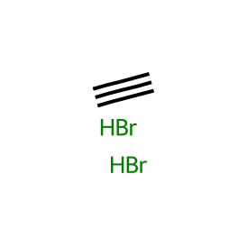 Br.Br.C#C